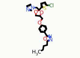 CCCCc1nnc(-c2ccc(OCC3COC(Cn4ccnc4)(c4ccc(Cl)s4)O3)cc2)o1